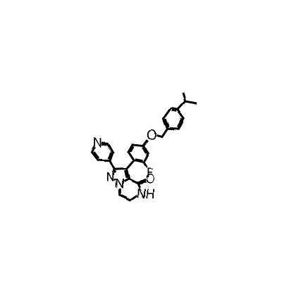 CC(C)c1ccc(COc2ccc(-c3c(-c4ccncc4)nn4c3C(=O)NCC4)c(F)c2)cc1